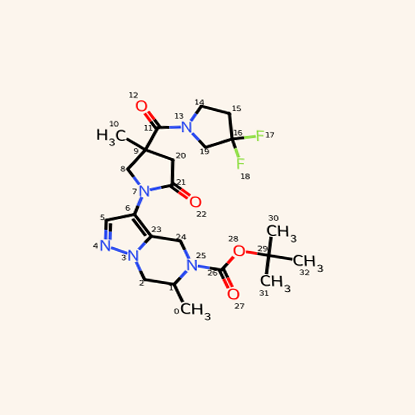 CC1Cn2ncc(N3CC(C)(C(=O)N4CCC(F)(F)C4)CC3=O)c2CN1C(=O)OC(C)(C)C